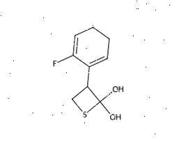 OC1(O)SCC1C1=CC[CH]C=C1F